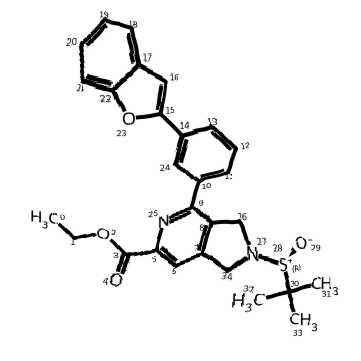 CCOC(=O)c1cc2c(c(-c3cccc(-c4cc5ccccc5o4)c3)n1)CN([S@@+]([O-])C(C)(C)C)C2